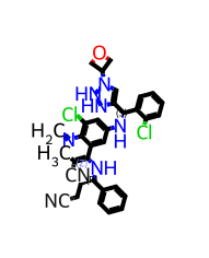 C=Nc1c(Cl)cc(N[C@H](C2=CN(C3COC3)NN2)c2ccccc2Cl)cc1/C(N[C@H](CCC#N)c1ccccc1)=C(\C)C#N